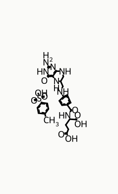 Cc1ccc(S(=O)(=O)O)cc1.Nc1nc2c(c(=O)[nH]1)NC(CNc1ccc(C(=O)NC(CCC(=O)O)C(=O)O)cc1)CN2